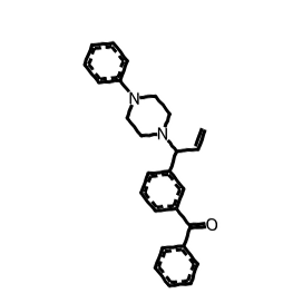 C=CC(c1cccc(C(=O)c2ccccc2)c1)N1CCN(c2ccccc2)CC1